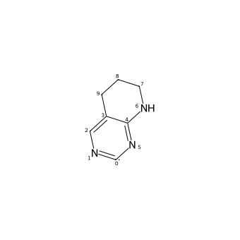 [c]1ncc2c(n1)NCCC2